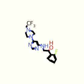 OC(CNc1cc(N2CCN(CC(F)(F)F)CC2)ncn1)c1ccccc1F